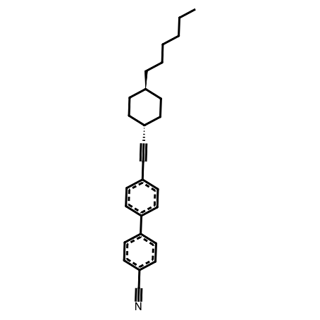 CCCCCC[C@H]1CC[C@H](C#Cc2ccc(-c3ccc(C#N)cc3)cc2)CC1